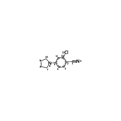 N#Cc1ccc(N2CCCC2)cc1Cl